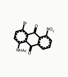 CC(=O)Nc1ccc(Br)c2c1C(=O)c1cccc([N+](=O)[O-])c1C2=O